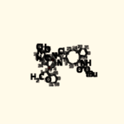 C=C/C(CCc1nc(/C2=C/CC[C@H](NC(=O)OC(C)(C)C)c3ccccc3CCC2)c(Cl)nc1C(=C)/C1=C\c2ccn(C)c(=O)c2CCCC1)=C1/CCCCO1